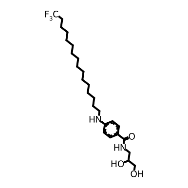 O=C(NCC(O)CO)c1ccc(NCCCCCCCCCCCCCCCC(F)(F)F)cc1